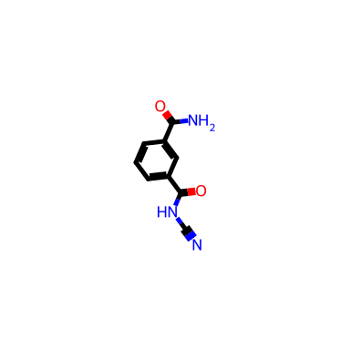 N#CNC(=O)c1cccc(C(N)=O)c1